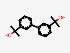 CC(C)(O)c1cccc(-c2cccc(C(C)(C)O)c2)c1